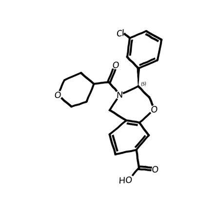 O=C(O)c1ccc2c(c1)OC[C@H](c1cccc(Cl)c1)N(C(=O)C1CCOCC1)C2